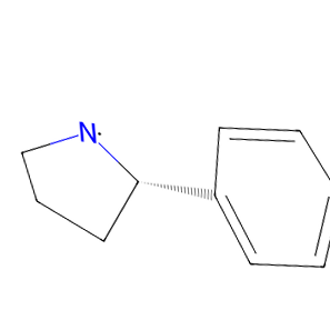 c1ccc([C@@H]2CCC[N]2)cc1